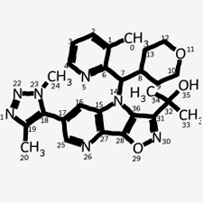 Cc1cccnc1C(C1CCOCC1)n1c2cc(-c3c(C)nnn3C)cnc2c2onc(C(C)(C)O)c21